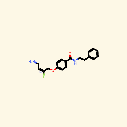 NC/C=C(/F)COc1ccc(C(=O)NCCc2ccccc2)cc1